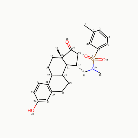 Cc1cccc(S(=O)(=O)N(C)C[C@H]2CC(=O)[C@@]3(C)CCC4c5ccc(O)cc5CCC4C23)c1